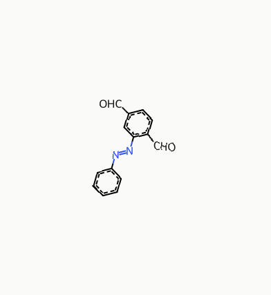 O=Cc1ccc(C=O)c(N=Nc2ccccc2)c1